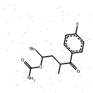 CC(CC(OC(N)=O)C(C)(C)C)C(=O)c1ccc(F)cc1